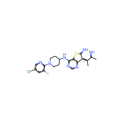 CC(=N)/C(C)=C1\C(=N)Sc2c(NC3CCN(c4ncc(Cl)cc4F)CC3)ncnc21